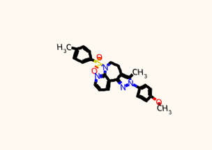 COc1ccc(-n2nc3c(c2C)CCN(S(=O)(=O)c2ccc(C)cc2)c2ncccc2-3)cc1